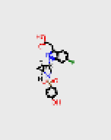 O=C(O)Cc1nn([C@H]2CN(S(=O)(=O)c3ccc(O)cc3)[C@H]3C[C@H]32)c2cc(F)ccc12